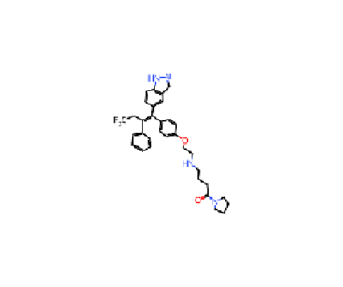 O=C(CCCNCCOc1ccc(/C(=C(/CC(F)(F)F)c2ccccc2)c2ccc3[nH]ncc3c2)cc1)N1CCCC1